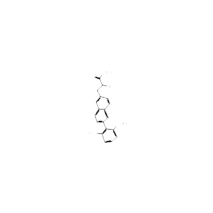 COC(=O)C(N)Cc1ccc2cc(-c3c(OC)cccc3OC)ccc2c1